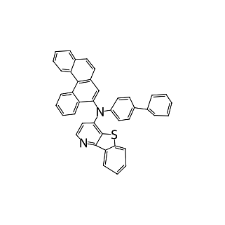 c1ccc(-c2ccc(N(c3cc4ccc5ccccc5c4c4ccccc34)c3ccnc4c3sc3ccccc34)cc2)cc1